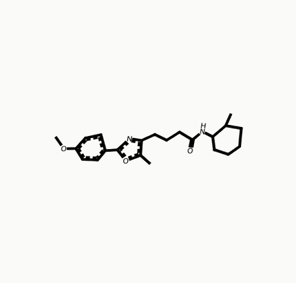 COc1ccc(-c2nc(CCCC(=O)NC3CCCCC3C)c(C)o2)cc1